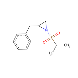 CC(C)S(=O)(=O)[N@@]1CC1Cc1ccccc1